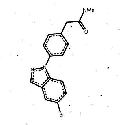 CNC(=O)Cc1ccc(-n2ncc3cc(Br)ccc32)cc1